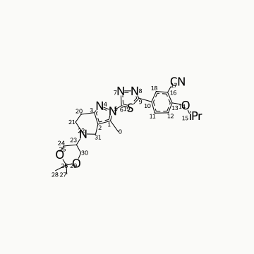 Cc1c2c(nn1-c1nnc(-c3ccc(OC(C)C)c(C#N)c3)s1)CCN(C1COC(C)(C)OC1)C2